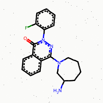 NC1CCCCN(c2nn(-c3ccccc3F)c(=O)c3ccccc23)C1